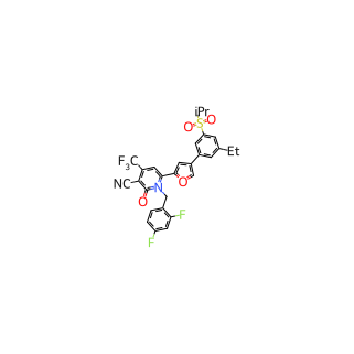 CCc1cc(-c2coc(-c3cc(C(F)(F)F)c(C#N)c(=O)n3Cc3ccc(F)cc3F)c2)cc(S(=O)(=O)C(C)C)c1